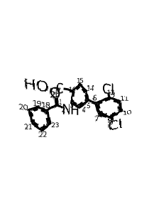 O=C(Nc1cc(-c2cc(Cl)ccc2Cl)ccc1C(=O)O)c1ccccc1